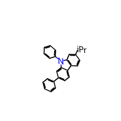 CC(C)c1ccc2c3ccc(-c4ccccc4)cc3n(-c3ccccc3)c2c1